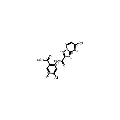 COC(=O)c1cc(Cl)c(Cl)cc1NC(=O)c1nc2nc(O)ccn2n1